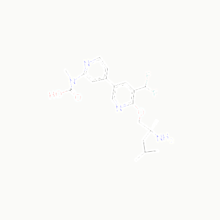 CC(C)C[C@](C)(N)COc1ncc(-c2ccnc(N(C)C(=O)O)c2)cc1C(F)F